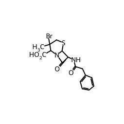 CC1(Br)CSC2C(NC(=O)Cc3ccccc3)C(=O)N2C1C(=O)O